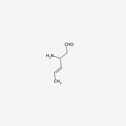 CC=CC(N)CC=O